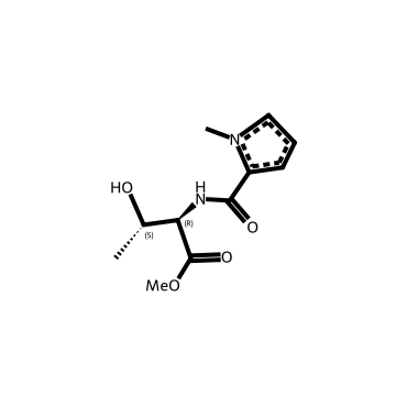 COC(=O)[C@H](NC(=O)c1cccn1C)[C@H](C)O